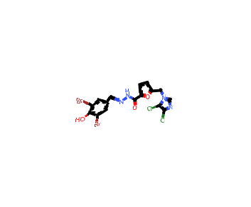 O=C(NN=Cc1cc(Br)c(O)c(Br)c1)c1ccc(Cn2cnc(Cl)c2Cl)o1